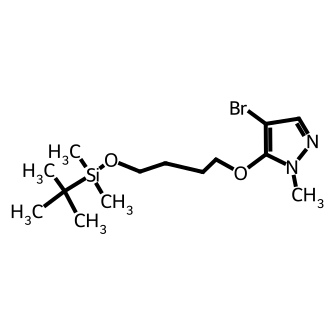 Cn1ncc(Br)c1OCCCCO[Si](C)(C)C(C)(C)C